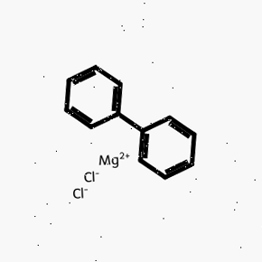 [Cl-].[Cl-].[Mg+2].c1ccc(-c2ccccc2)cc1